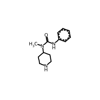 CN(C(=O)Nc1ccccc1)C1CCNCC1